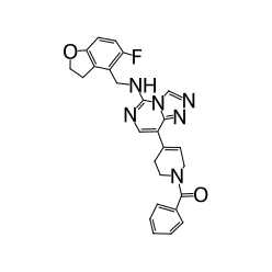 O=C(c1ccccc1)N1CC=C(c2cnc(NCc3c(F)ccc4c3CCO4)n3cnnc23)CC1